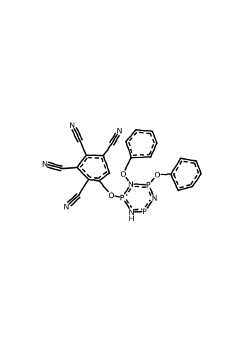 N#Cc1cc(Op2[nH]pnp(Oc3ccccc3)n2Oc2ccccc2)c(C#N)c(C#N)c1C#N